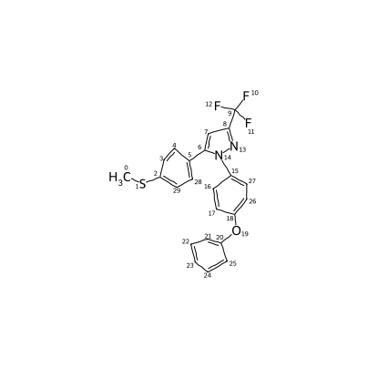 CSc1ccc(-c2cc(C(F)(F)F)nn2-c2ccc(Oc3ccccc3)cc2)cc1